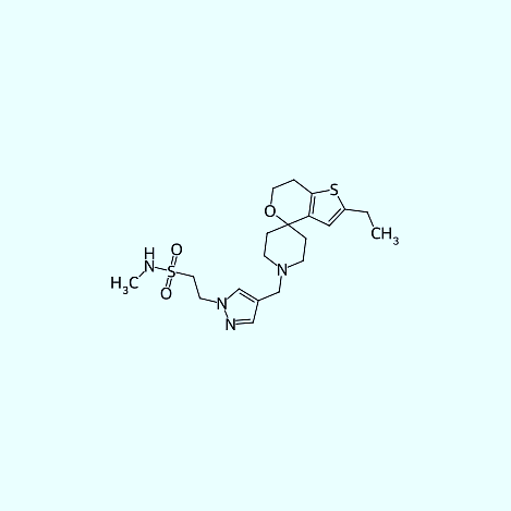 CCc1cc2c(s1)CCOC21CCN(Cc2cnn(CCS(=O)(=O)NC)c2)CC1